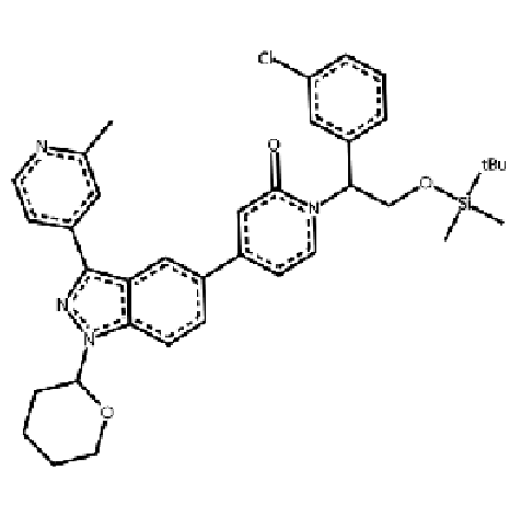 Cc1cc(-c2nn(C3CCCCO3)c3ccc(-c4ccn(C(CO[Si](C)(C)C(C)(C)C)c5cccc(Cl)c5)c(=O)c4)cc23)ccn1